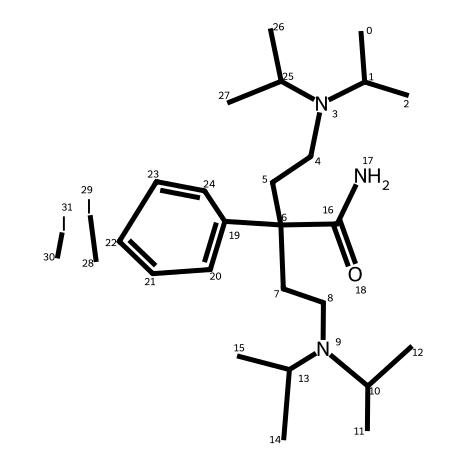 CC(C)N(CCC(CCN(C(C)C)C(C)C)(C(N)=O)c1ccccc1)C(C)C.CI.CI